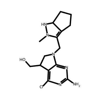 CN1NC2CCCC2=C1CN1CC(CO)c2c(Cl)nc(N)nc21